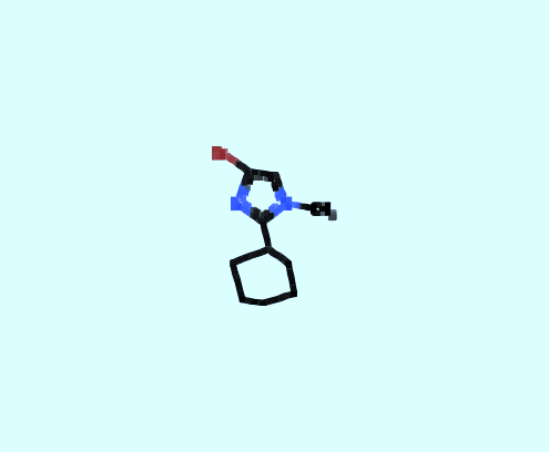 Cn1cc(Br)nc1C1CCCCC1